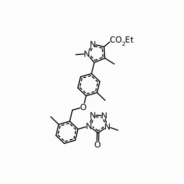 CCOC(=O)c1nn(C)c(-c2ccc(OCc3c(C)cccc3-n3nnn(C)c3=O)c(C)c2)c1C